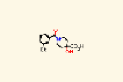 CCc1cccc(C(=O)N2CCC(O)(C(=O)O)CC2)c1